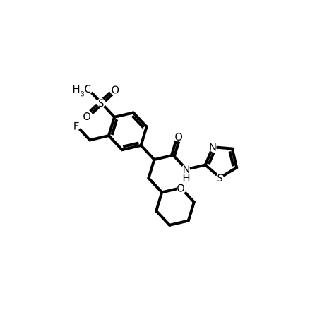 CS(=O)(=O)c1ccc(C(CC2CCCCO2)C(=O)Nc2nccs2)cc1CF